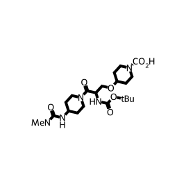 CNC(=O)NC1CCN(C(=O)C(COC2CCN(C(=O)O)CC2)NC(=O)OC(C)(C)C)CC1